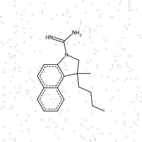 CCCCC1(C)CN(C(=N)N)c2ccc3ccccc3c21